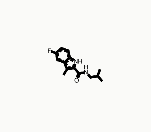 Cc1c(C(=O)NCC(C)C)[nH]c2ccc(F)cc12